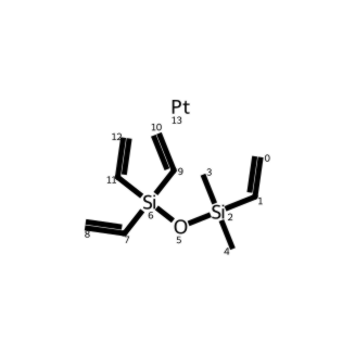 C=C[Si](C)(C)O[Si](C=C)(C=C)C=C.[Pt]